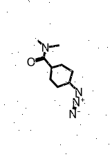 CN(C)C(=O)C1CCC(N=[N+]=[N-])CC1